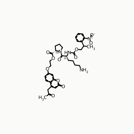 CC(=O)Cc1cc(=O)oc2cc(OCCOC(=O)[C@@H]3CCCN3C(=O)[C@H](CCCCN)NC(=O)OCC(C)c3ccccc3[N+](=O)[O-])ccc12